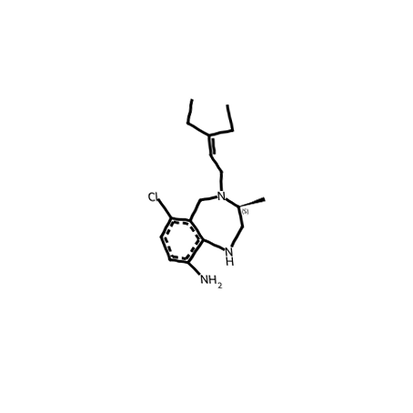 CCC(=CCN1Cc2c(Cl)ccc(N)c2NC[C@@H]1C)CC